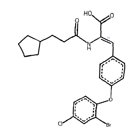 O=C(CCC1CCCC1)N/C(=C\c1ccc(Oc2ccc(Cl)cc2Br)cc1)C(=O)O